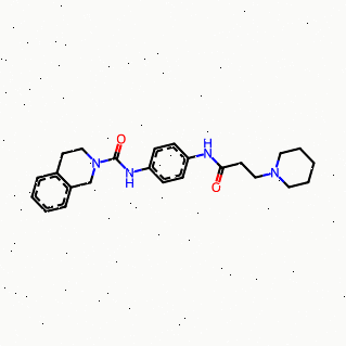 O=C(CCN1CCCCC1)Nc1ccc(NC(=O)N2CCc3ccccc3C2)cc1